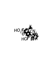 Cl.N#Cc1c(N2C[C@H]3NCCO[C@@H]3C2)c(F)cc2c(=O)c(C(=O)O)cn(C3CC3)c12